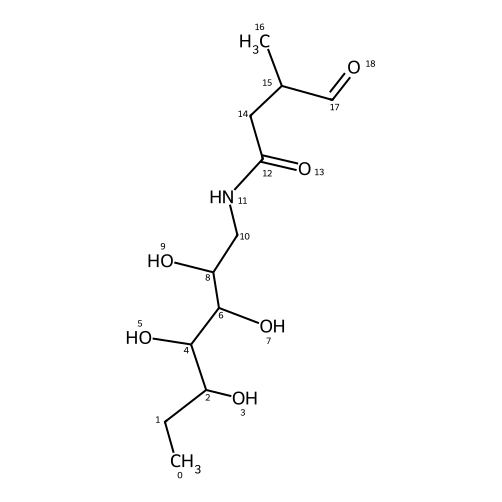 CCC(O)C(O)C(O)C(O)CNC(=O)CC(C)C=O